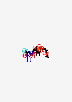 CC(C)OC(=O)C(C)CCO[P@@]1(=O)OC[C@H]2O[C@@H](n3cc(C(F)(F)F)c(=O)[nH]c3=O)C[C@@H]2O1